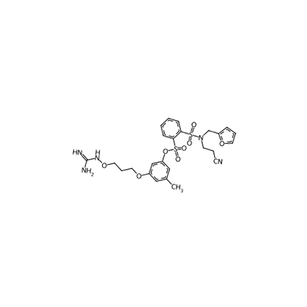 Cc1cc(OCCCONC(=N)N)cc(OS(=O)(=O)c2ccccc2S(=O)(=O)N(CCC#N)Cc2ccco2)c1